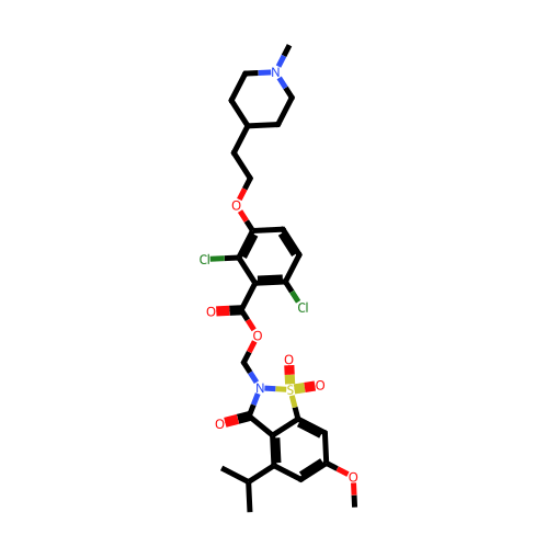 COc1cc(C(C)C)c2c(c1)S(=O)(=O)N(COC(=O)c1c(Cl)ccc(OCCC3CCN(C)CC3)c1Cl)C2=O